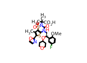 COc1ccc(F)cc1[C@H](CN1c2sc(-c3ncco3)c(C)c2S(=O)(=O)N(C(C)(C)C(=O)O)C1O)OC1CCOCC1